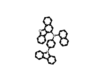 c1ccc2c(N(c3ccc(-n4c5ccccc5c5ccccc54)cc3)c3cc4ccccc4c4oc5ccccc5c34)cccc2c1